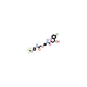 O=C(COC12CC(NC(=O)[C@H]3C[C@@H](O)c4cc(Cl)ccc4O3)(C1)C2)N[C@H]1C[C@@H](OC(F)(F)F)C1